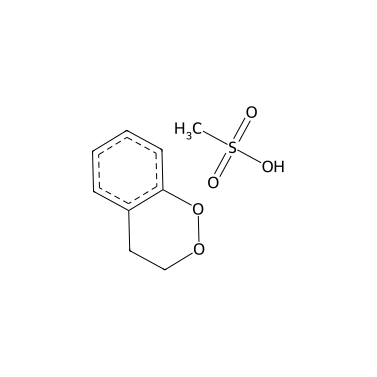 CS(=O)(=O)O.c1ccc2c(c1)CCOO2